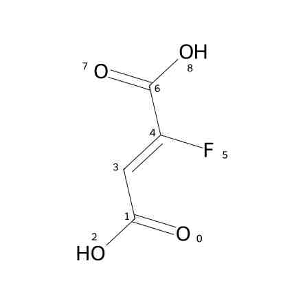 O=C(O)C=C(F)C(=O)O